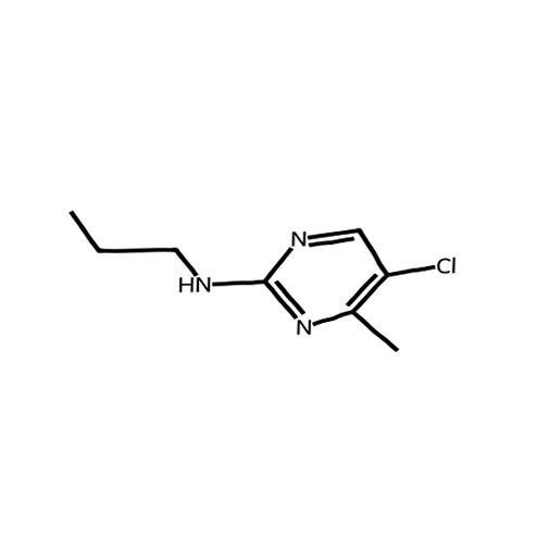 CCCNc1ncc(Cl)c(C)n1